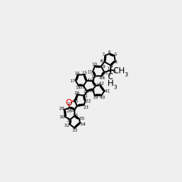 CC1(C)c2ccccc2-c2ccc(-c3c4ccccc4c(-c4ccc5c(c4)oc4ccc6ccccc6c45)c4ccccc34)cc21